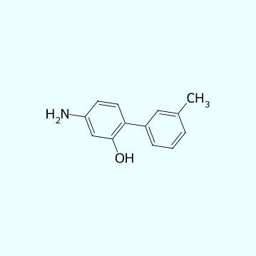 Cc1cccc(-c2ccc(N)cc2O)c1